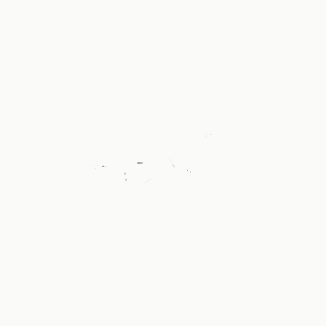 COc1ccc(C(C)C(=O)NC(CC(C)C)C(=O)O)cc1